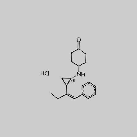 CCC(=Cc1ccccc1)C1C[C@@H]1NC1CCC(=O)CC1.Cl